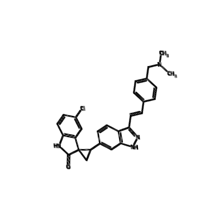 CN(C)Cc1ccc(/C=C/c2n[nH]c3cc(C4CC45C(=O)Nc4ccc(Cl)cc45)ccc23)cc1